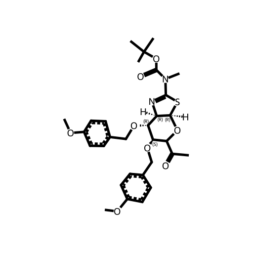 COc1ccc(CO[C@@H]2[C@H]3N=C(N(C)C(=O)OC(C)(C)C)S[C@H]3OC(C(C)=O)[C@H]2OCc2ccc(OC)cc2)cc1